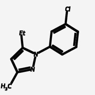 CCc1cc(C)nn1-c1cccc(Cl)c1